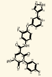 CC(C)n1cc(C(=O)Nc2ccc(Oc3ccnc(-c4cn[nH]c4)c3)c(F)c2)c(=O)n(-c2ccc(F)cc2)c1=O